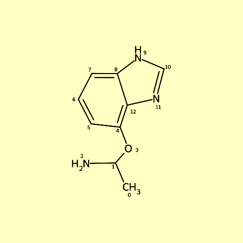 CC(N)Oc1cccc2[nH]cnc12